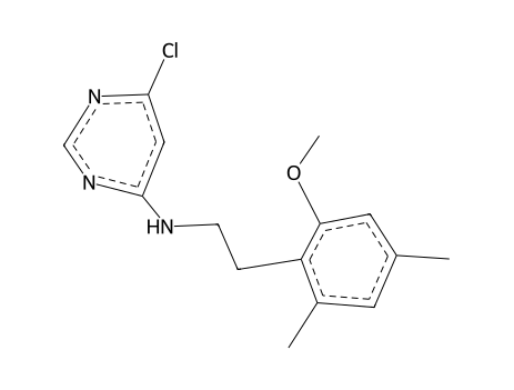 COc1cc(C)cc(C)c1CCNc1cc(Cl)ncn1